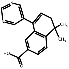 CC1(C)CC=C(c2cncnc2)c2cc(C(=O)O)ccc21